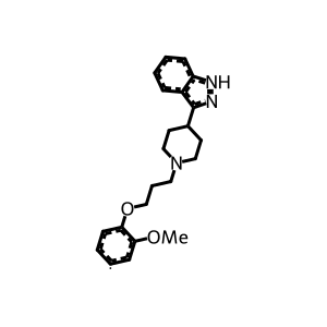 COc1c[c]ccc1OCCCN1CCC(c2n[nH]c3ccccc23)CC1